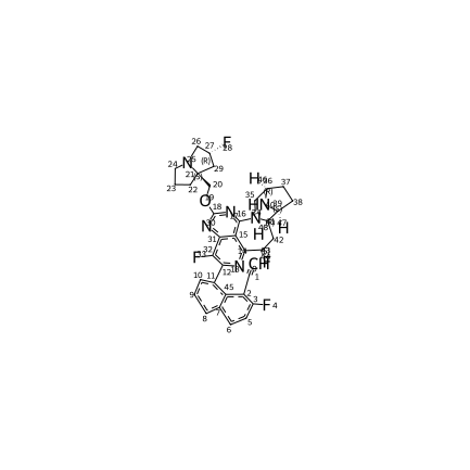 C#Cc1c(F)ccc2cccc(-c3nc4c5c(nc(OC[C@@]67CCCN6C[C@H](F)C7)nc5c3F)N3C[C@H]5CC[C@H](N5)[C@H]3C[C@@H]4F)c12